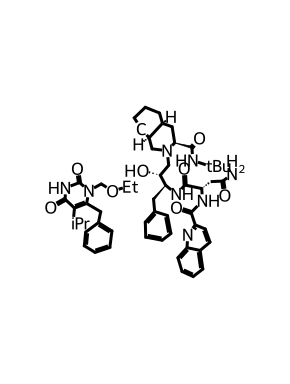 CC(C)(C)NC(=O)[C@@H]1C[C@@H]2CCCC[C@@H]2CN1C[C@@H](O)[C@H](Cc1ccccc1)NC(=O)[C@H](CC(N)=O)NC(=O)c1ccc2ccccc2n1.CCOCn1c(Cc2ccccc2)c(C(C)C)c(=O)[nH]c1=O